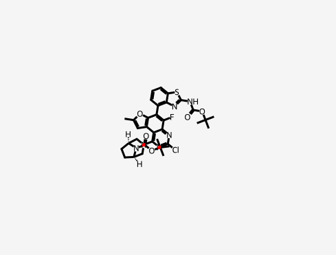 Cc1cc2c(o1)c(-c1cccc3sc(NC(=O)OC(C)(C)C)nc13)c(F)c1nc(Cl)nc(N3C[C@H]4CC[C@@H](C3)N4C(=O)OC(C)(C)C)c12